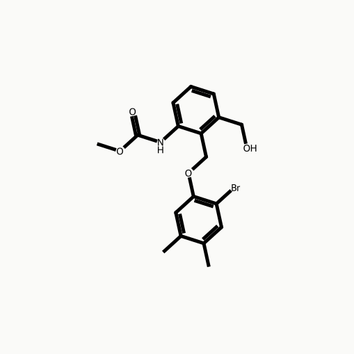 COC(=O)Nc1cccc(CO)c1COc1cc(C)c(C)cc1Br